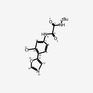 CC(C)(C)NC(=O)C(=O)Nc1ccc(-c2cnco2)c(Cl)c1